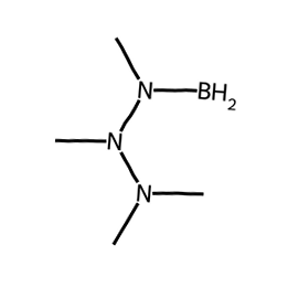 BN(C)N(C)N(C)C